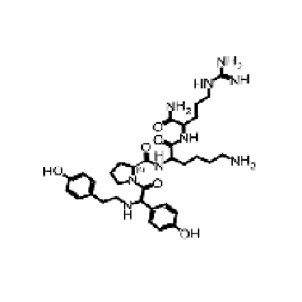 N=C(N)NCCCC(NC(=O)C(CCCCN)NC(=O)[C@@H]1CCCN1C(=O)C(NCCc1ccc(O)cc1)c1ccc(O)cc1)C(N)=O